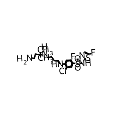 CC(C)(CCN)NCCCCNc1cc(F)c(S(=O)(=O)Nc2ncc(F)s2)cc1Cl